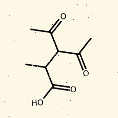 CC(=O)C(C(C)=O)C(C)C(=O)O